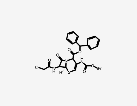 CC(C)OC(=O)NC1=CS[C@H]2C(NC(=O)CCl)C(=O)N2C1C(=O)OC(c1ccccc1)c1ccccc1